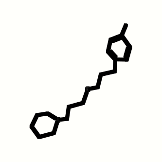 Cc1ccc(CCCOCCCN2CCCCC2)cc1